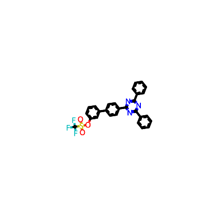 O=S(=O)(Oc1cccc(-c2ccc(-c3nc(-c4ccccc4)nc(-c4ccccc4)n3)cc2)c1)C(F)(F)F